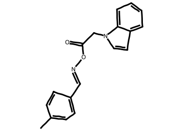 Cc1ccc(C=NOC(=O)Cn2ccc3ccccc32)cc1